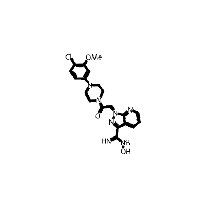 COc1cc(N2CCN(C(=O)Cn3nc(C(=N)NO)c4cccnc43)CC2)ccc1Cl